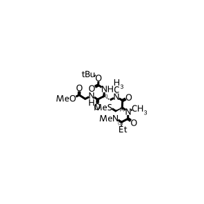 CC[C@H](NC)C(=O)N(C)[C@@H](CSC)C(=O)N(C)C[C@@H](NC(=O)OC(C)(C)C)C(=O)NCC(=O)OC